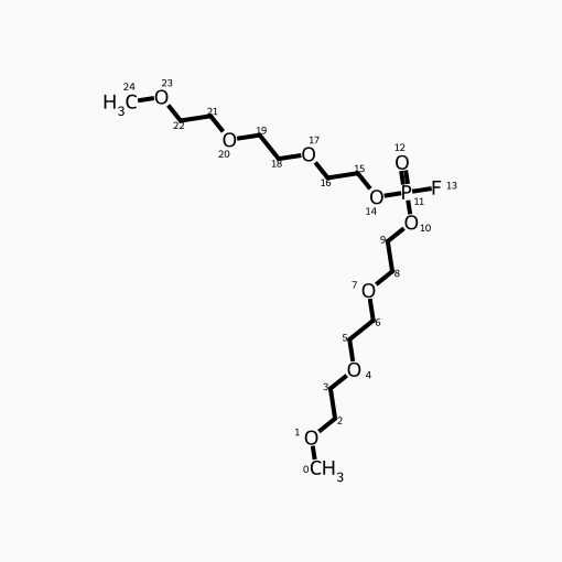 COCCOCCOCCOP(=O)(F)OCCOCCOCCOC